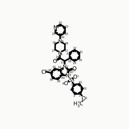 COc1ccc(S(=O)(=O)n2c(=O)n(C(C(=O)N3CCN(c4cccnc4)CC3)c3ccccc3)c3cc(Cl)ccc32)cc1